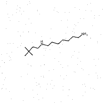 CC(C)(C)CCNCCCCCCCN